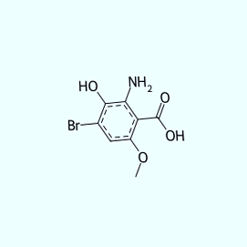 COc1cc(Br)c(O)c(N)c1C(=O)O